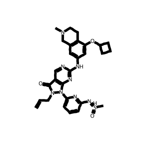 C=CCn1c(=O)c2cnc(Nc3cc4c(c(OC5CCC5)c3)CCN(C)C4)nc2n1-c1cccc(/N=[SH](/C)=O)n1